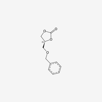 O=C1OC[C@H](COCc2ccccc2)O1